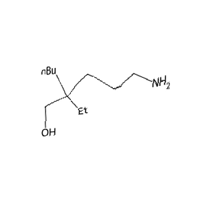 CCCCC(CC)(CO)CCCN